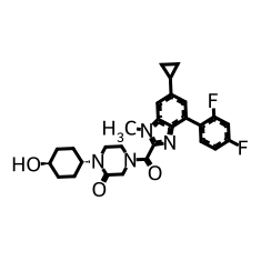 Cn1c(C(=O)N2CCN([C@H]3CC[C@H](O)CC3)C(=O)C2)nc2c(-c3ccc(F)cc3F)cc(C3CC3)cc21